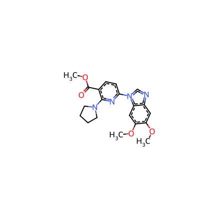 COC(=O)c1ccc(-n2cnc3cc(OC)c(OC)cc32)nc1N1CCCC1